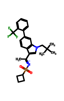 C/C(=N\S(=O)(=O)C1CCC1)c1cn(CC(C)(C)C)c2cc(-c3ccccc3C(F)(F)F)ccc12